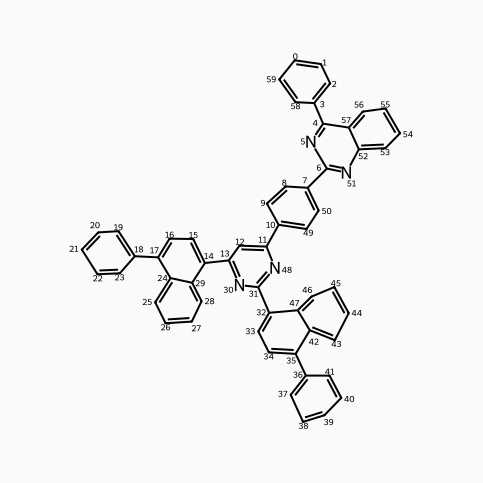 c1ccc(-c2nc(-c3ccc(-c4cc(-c5ccc(-c6ccccc6)c6ccccc56)nc(-c5ccc(-c6ccccc6)c6ccccc56)n4)cc3)nc3ccccc23)cc1